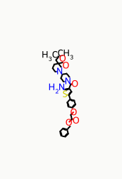 CC1(C)CC2(CCCN(C3CCN(C(=O)c4cc(-c5ccc(OCC(=O)OCc6ccccc6)cc5)sc4N)CC3)C2)C(=O)O1